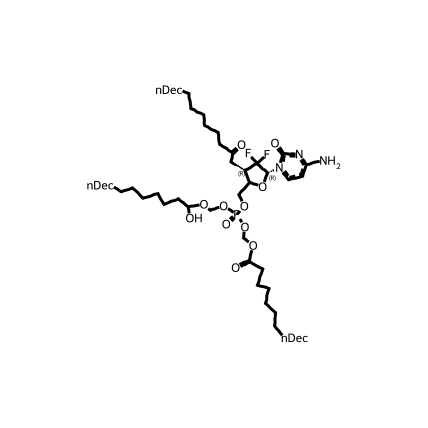 CCCCCCCCCCCCCCCCC(=O)C[C@@H]1C(COP(=O)(OCOC(=O)CCCCCCCCCCCCCCCC)OCOC(O)CCCCCCCCCCCCCCCC)O[C@@H](n2ccc(N)nc2=O)C1(F)F